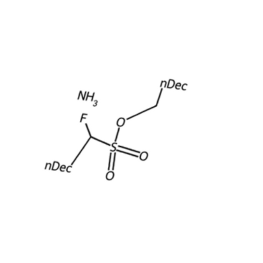 CCCCCCCCCCCOS(=O)(=O)C(F)CCCCCCCCCC.N